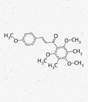 COc1ccc(/C=C/C(=O)c2c(OC)c(C)c(OC)c(C)c2OC)cc1